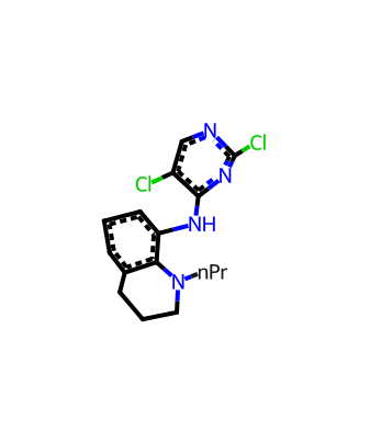 CCCN1CCCc2cccc(Nc3nc(Cl)ncc3Cl)c21